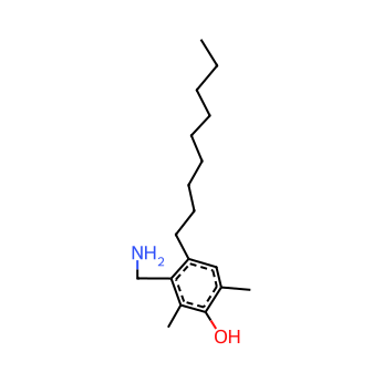 CCCCCCCCCc1cc(C)c(O)c(C)c1CN